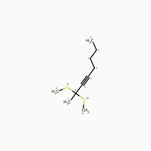 [CH2]CCCC#CC(C)(SC)SC